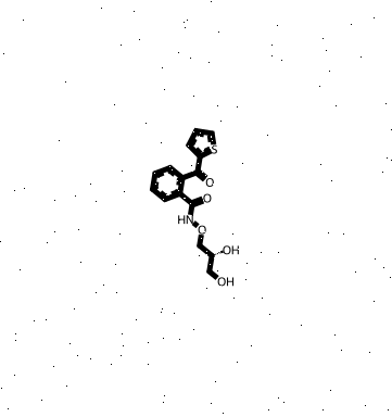 O=C(NOC[C@H](O)CO)c1ccccc1C(=O)c1cccs1